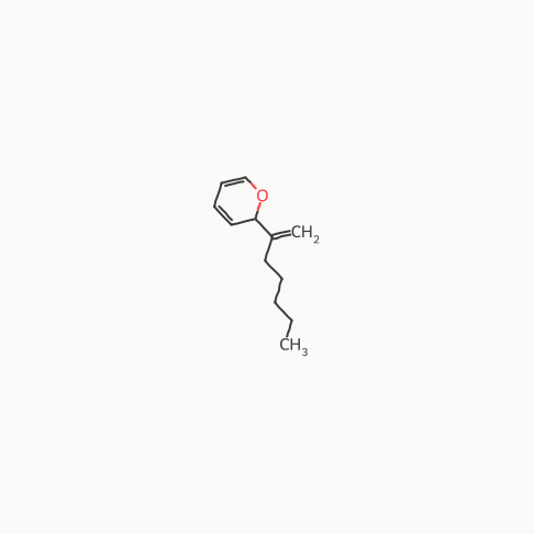 C=C(CCCCC)C1C=CC=CO1